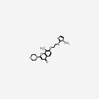 Cc1c(OCCSc2nccn2C)ccc2c(=O)cc(N3CCOCC3)oc12